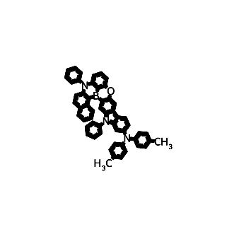 Cc1ccc(N(c2ccc(C)cc2)c2ccc3c4cc5c(cc4n(-c4ccccc4)c3c2)B2c3c(cccc3N(c3ccccc3)c3ccc4ccccc4c32)O5)cc1